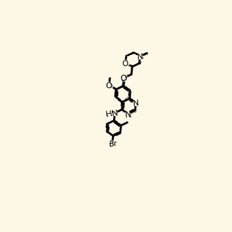 COc1cc2c(Nc3ccc(Br)cc3C)ncnc2cc1OCC1CN(C)CCO1